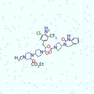 CCOC(=O)O[C@H]1CN(C)CCN1C1CCN(C(=O)[C@@H](Cc2cc(Cl)c(N)c(C(F)(F)F)c2)OC(=O)N2CCC(N3CCc4ccccc4NC3=O)CC2)CC1